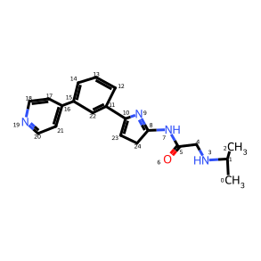 CC(C)NCC(=O)NC1=NC(c2cccc(-c3ccncc3)c2)=CC1